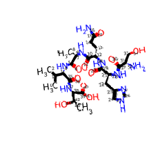 CC(C)[C@H](NC(=O)[C@H](C)NC(=O)[C@H](CCC(N)=O)NC(=O)[C@H](Cc1c[nH]cn1)NC(=O)[C@@H](N)CO)C(=O)N[C@H](C(=O)O)[C@@H](C)O